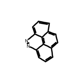 c1cc2ccc3cccc4nnc(c1)c2c34